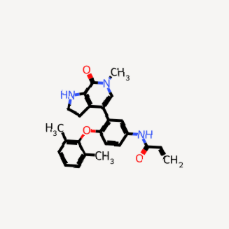 C=CC(=O)Nc1ccc(Oc2c(C)cccc2C)c(-c2cn(C)c(=O)c3c2CCN3)c1